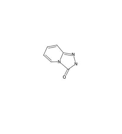 O=C1[N]N=C2C=CC=CN12